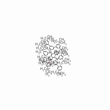 CC(C)(C)c1cccc(-c2cc(-c3cc(C(C)(C)C)cc(C(C)(C)C)c3)cc(N(c3cc(C(C)(C)C)cc(C(C)(C)C)c3)c3c4ccccc4c(N(c4cc(-c5cc(C(C)(C)C)cc(C(C)(C)C)c5)cc(-c5cc(C(C)(C)C)cc(C(C)(C)C)c5)c4)c4cc(C(C)(C)C)cc(C(C)(C)C)c4)c4ccc(C(C)(C)C)cc34)c2)c1